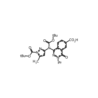 Cc1cc(N(C(=O)OC(C)(C)C)c2nn(C(C)C)c(=O)c3cc(C(=O)O)ccc23)nn1C(=O)OC(C)(C)C